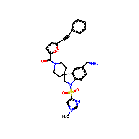 Cn1cnc(S(=O)(=O)N2CC3(CCN(C(=O)c4ccc(C#Cc5ccccc5)o4)CC3)c3cc(CN)ccc32)c1